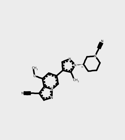 COc1cc(-c2cnn([C@H]3CCCN(C#N)C3)c2C)cn2ncc(C#N)c12